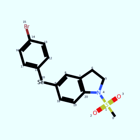 CS(=O)(=O)N1CCc2cc([Se]c3ccc(Br)cc3)ccc21